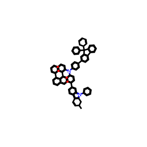 CC1C=Cc2c(n(-c3ccccc3)c3cc(-c4ccc(N(c5ccc(-c6ccc7c(c6)C(c6ccccc6)(C6C=CC=CC6)c6ccccc6-7)cc5)c5ccccc5-c5cccc6cccc(-c7ccccc7)c56)cc4)ccc23)C1